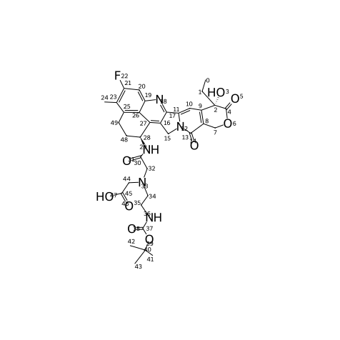 CC[C@@]1(O)C(=O)OCc2c1cc1n(c2=O)Cc2c-1nc1cc(F)c(C)c3c1c2[C@@H](NC(=O)CN(CCNC(=O)OC(C)(C)C)CC(=O)O)CC3